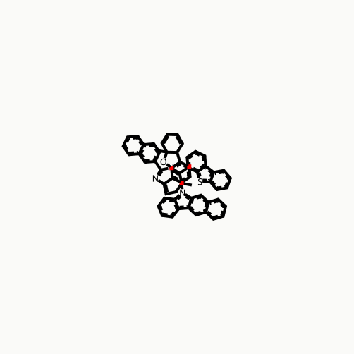 CC1C/C=C(c2c(-n3c4ccccc4c4cc5ccccc5cc43)ccc3c2OC2(C)C=CC=CC32)/N=C(c2ccc3ccccc3c2)\N=C/1c1cccc2c1sc1ccccc12